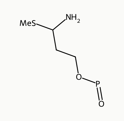 CSC(N)CCOP=O